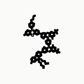 C=CCCCC1(CCCC=C)c2cc(C)ccc2-c2ccc(-c3ccc(N(c4ccc(N(c5ccc(-c6ccc7c(c6)Oc6cc(C)ccc6N7c6ccc(CCCC)cc6)cc5)c5c(C)cc(C(C)(C)C)cc5C)cc4)c4c(C)cc(C(C)(C)C)cc4C)cc3)cc21